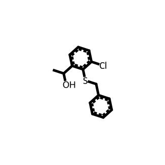 CC(O)c1cccc(Cl)c1SCc1ccccc1